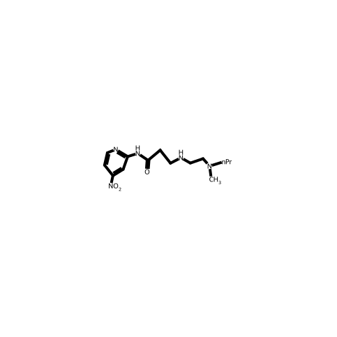 CCCN(C)CCNCCC(=O)Nc1cc([N+](=O)[O-])ccn1